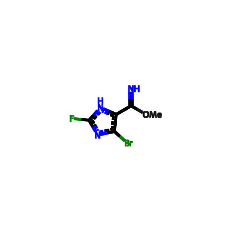 COC(=N)c1[nH]c(F)nc1Br